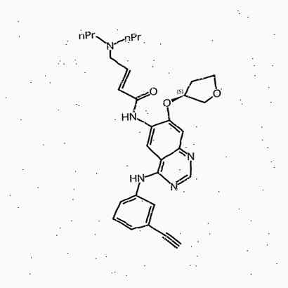 C#Cc1cccc(Nc2ncnc3cc(O[C@H]4CCOC4)c(NC(=O)C=CCN(CCC)CCC)cc23)c1